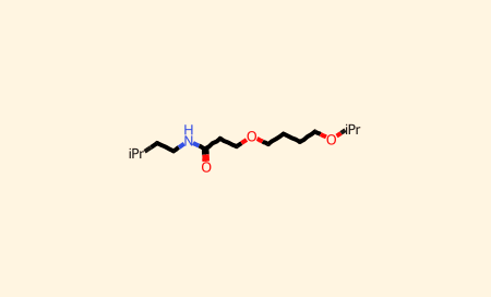 CC(C)CCNC(=O)CCOCCCCOC(C)C